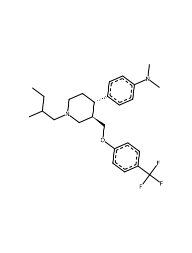 CCC(C)CN1CC[C@H](c2ccc(N(C)C)cc2)[C@@H](COc2ccc(C(F)(F)F)cc2)C1